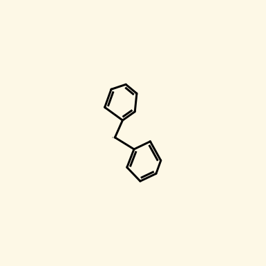 [CH](c1ccccc1)c1ccccc1